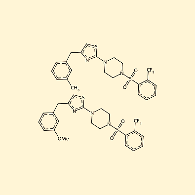 COc1cccc(Cc2csc(N3CCN(S(=O)(=O)c4ccccc4C(F)(F)F)CC3)n2)c1.Cc1cccc(Cc2csc(N3CCN(S(=O)(=O)c4ccccc4C(F)(F)F)CC3)n2)c1